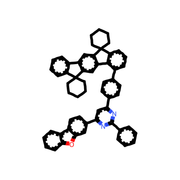 c1ccc(-c2nc(-c3ccc(-c4cccc5c4-c4cc6c(cc4C54CCCCC4)-c4ccccc4C64CCCCC4)cc3)cc(-c3ccc4c(c3)oc3ccccc34)n2)cc1